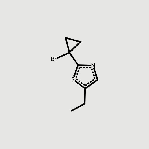 CCc1cnc(C2(Br)CC2)s1